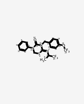 CC(/N=C1\SCN(c2ccccc2)C(=O)N1Cc1ccc(OC(F)(F)F)cc1)C(F)(F)F